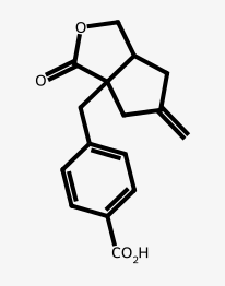 C=C1CC2COC(=O)C2(Cc2ccc(C(=O)O)cc2)C1